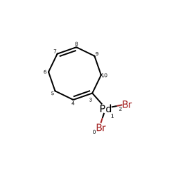 [Br][Pd]([Br])[C]1=CCCC=CCC1